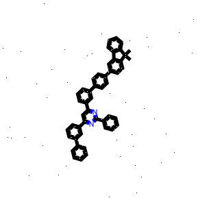 CC1(C)c2ccccc2-c2cc(-c3ccc(-c4cccc(-c5cc(-c6cccc(-c7ccccc7)c6)nc(-c6ccccc6)n5)c4)cc3)ccc21